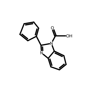 O=C(O)n1c(-c2ccccc2)nc2ccccc21